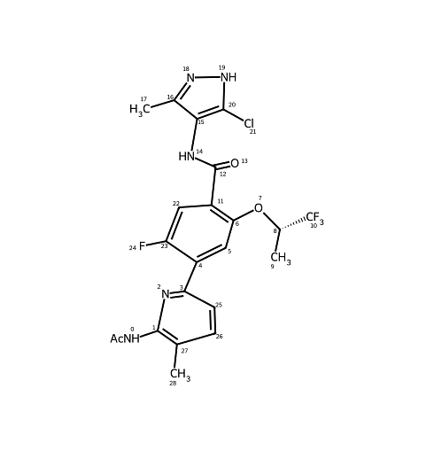 CC(=O)Nc1nc(-c2cc(O[C@@H](C)C(F)(F)F)c(C(=O)Nc3c(C)n[nH]c3Cl)cc2F)ccc1C